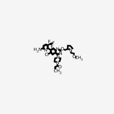 C=CC(=O)N1CCN(c2nc(OCC3CCCN3CCOC)nc3cc(-c4nc(N)ccc4C(F)(F)F)c(Cl)cc23)CC1